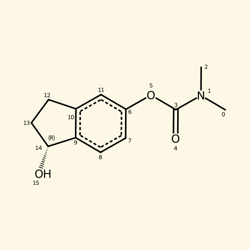 CN(C)C(=O)Oc1ccc2c(c1)CC[C@H]2O